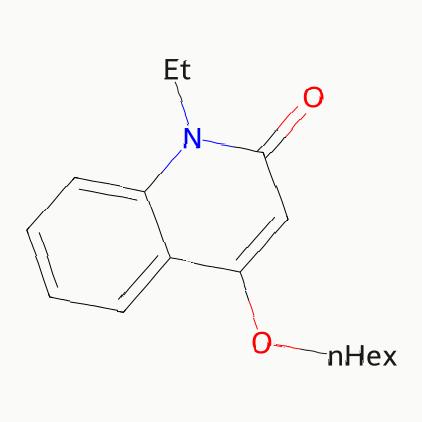 CCCCCCOc1cc(=O)n(CC)c2ccccc12